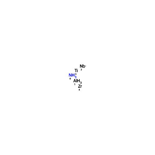 N.[AlH3].[Nb].[Ti].[Zr]